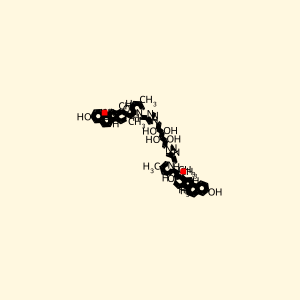 CC1=C2C[C@H]3[C@@H](CC=C4C[C@@H](O)CC[C@@]43C)[C@@H]2CC[C@]12O[C@@H]1C[C@H](C)CN(Cc3cn(CC(O)C(O)C(O)C(O)Cn4cc(CN5C[C@@H](C)C[C@H]6O[C@]7(CC[C@@H]8C(=C7C)C[C@H]7[C@H]8CC=C8C[C@@H](O)CC[C@@]87C)[C@H](C)[C@@H]65)nn4)nn3)[C@H]1[C@H]2C